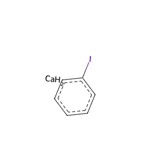 Ic1ccccc1.[CaH2]